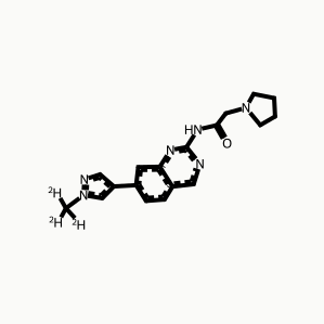 [2H]C([2H])([2H])n1cc(-c2ccc3cnc(NC(=O)CN4CCCC4)nc3c2)cn1